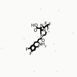 C[C@@H]1CN(C(=O)CC(N)Cc2cc(F)c(F)cc2F)Cc2c(C(=O)O)nc(C(F)(F)F)n21